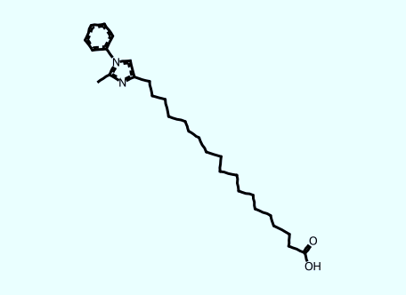 Cc1nc(CCCCCCCCCCCCCCCCCCC(=O)O)cn1-c1ccccc1